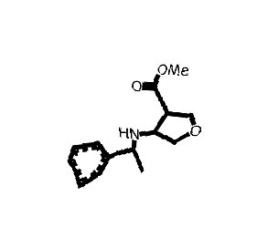 COC(=O)C1COCC1NC(C)c1ccccc1